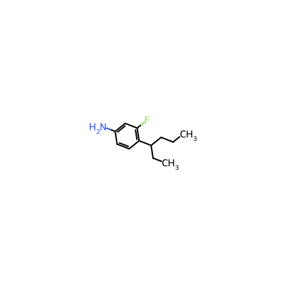 CCCC(CC)c1ccc(N)cc1F